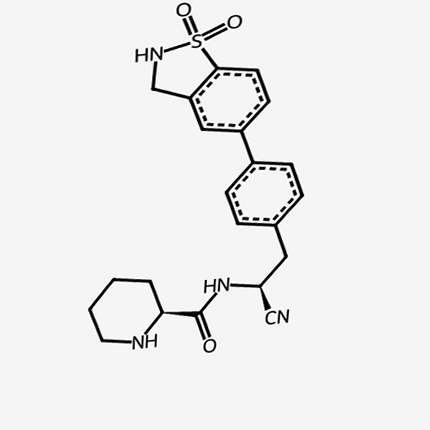 N#C[C@H](Cc1ccc(-c2ccc3c(c2)CNS3(=O)=O)cc1)NC(=O)[C@@H]1CCCCN1